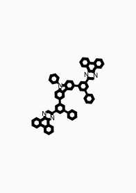 c1ccc(-c2cc(-c3ccc4c(c3)c3cc(-c5cc(-c6ccccc6)cc(-c6cnc7c8ccccc8c8ccccc8c7n6)c5)ccc3n4-c3ccccc3)cc(-c3cnc4c5ccccc5c5ccccc5c4n3)c2)cc1